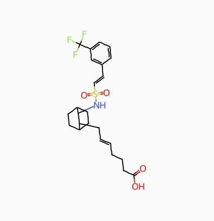 O=C(O)CCC/C=C/CC1C2CCC(CC2)C1NS(=O)(=O)/C=C/c1cccc(C(F)(F)F)c1